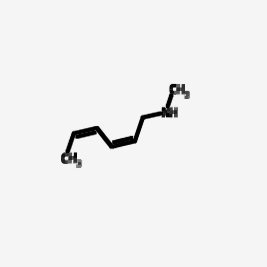 C/C=C\C=C/CNC